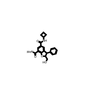 CNC(=O)c1cc(C(=O)NC2CCC2)cc2c1OC(CO)C2c1ccccc1